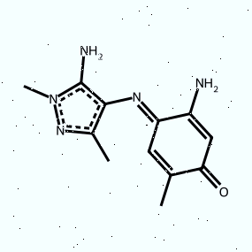 CC1=CC(=Nc2c(C)nn(C)c2N)C(N)=CC1=O